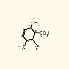 CC(=O)C1C(C)C=CC(C)C1C(=O)O